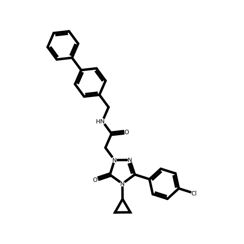 O=C(Cn1nc(-c2ccc(Cl)cc2)n(C2CC2)c1=O)NCc1ccc(-c2ccccc2)cc1